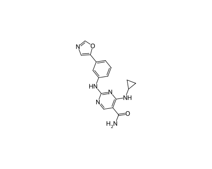 NC(=O)c1cnc(Nc2cccc(-c3cnco3)c2)nc1NC1CC1